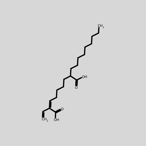 C=C/C(=C/CCCCC(CCCCCCCCC)C(=O)O)C(=O)O